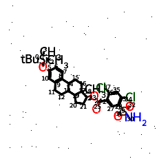 CC(C)(C)[Si](C)(C)Oc1ccc2c(c1)CCC1C2CC[C@@]2(C)C1CC[C@@H]2OC(=O)c1cc(S(N)(=O)=O)c(Cl)cc1Cl